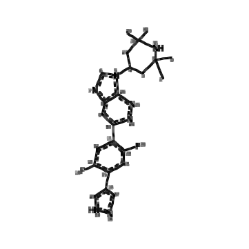 CC1(C)CC(n2cnc3cc(-c4cc(F)c(-c5cn[nH]c5)cc4F)nnc32)CC(C)(C)N1